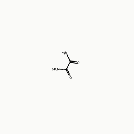 O=C(O)[C](=O)[Nb]